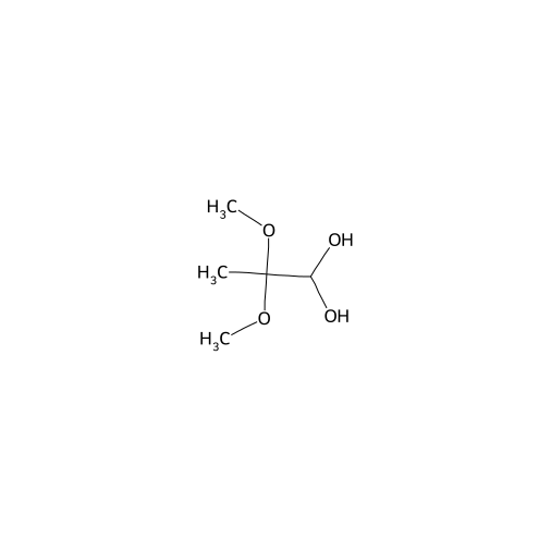 COC(C)(OC)C(O)O